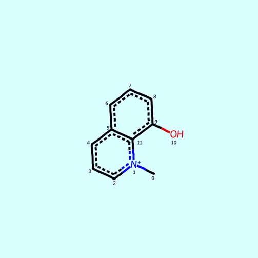 C[n+]1cccc2cccc(O)c21